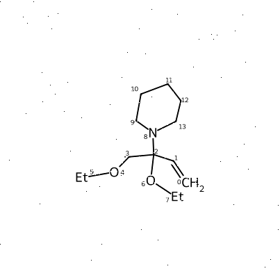 C=CC([CH]OCC)(OCC)N1CCCCC1